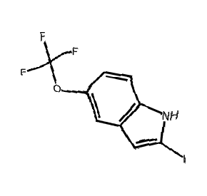 FC(F)(F)Oc1ccc2[nH]c(I)cc2c1